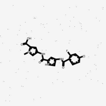 Cn1cc(NC(=O)c2cc(NC(=O)c3ccc(Cl)cc3F)c[nH]2)cc1C(=O)O